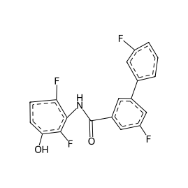 O=C(Nc1c(F)ccc(O)c1F)c1cc(F)cc(-c2cccc(F)c2)c1